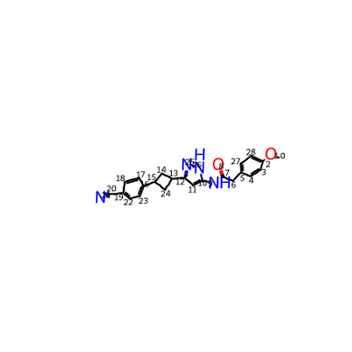 COc1ccc(CC(=O)Nc2cc(C3CC(c4ccc(C#N)cc4)C3)n[nH]2)cc1